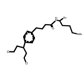 CNCCCC(NC(=O)CCCc1ccc(C(CCCl)CCCl)cc1)C(C)=O